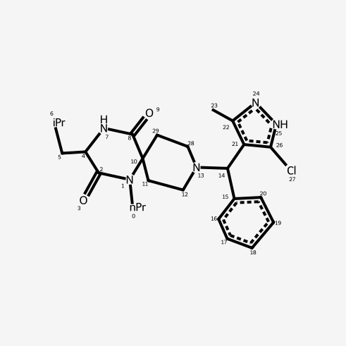 CCCN1C(=O)C(CC(C)C)NC(=O)C12CCN(C(c1ccccc1)c1c(C)n[nH]c1Cl)CC2